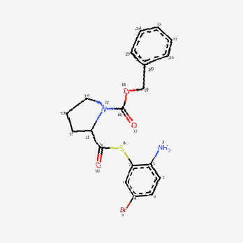 Nc1ccc(Br)cc1SC(=O)C1CCCN1C(=O)OCc1ccccc1